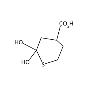 O=C(O)C1CCSC(O)(O)C1